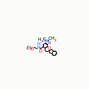 CCOCCNC(=O)c1cc2c(nc(C)n2C)c2c1CCC1(Cc3ccccc3C1)O2